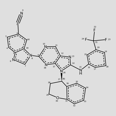 N#Cc1ccc2ncn(-c3ncc4nc(Nc5cccc(C(F)(F)F)c5)n([C@@H]5CCOc6ccccc65)c4n3)c2c1